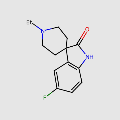 CCN1CCC2(CC1)C(=O)Nc1ccc(F)cc12